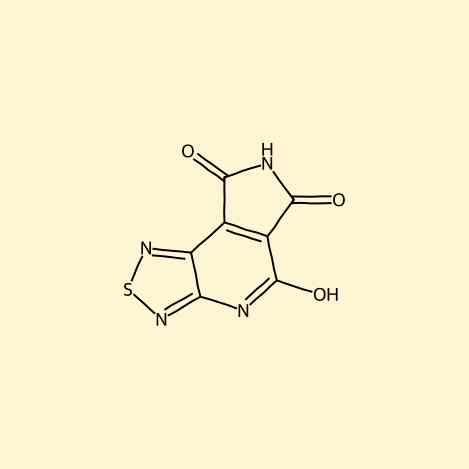 O=C1NC(=O)c2c1c(O)nc1nsnc21